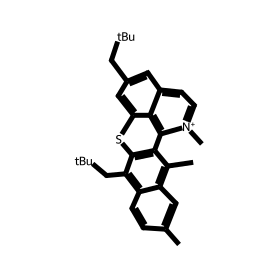 Cc1ccc2c(CC(C)(C)C)c3c(c(C)c2c1)-c1c2c(cc(CC(C)(C)C)cc2cc[n+]1C)S3